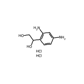 Cl.Cl.Nc1ccc(C(O)CO)c(N)c1